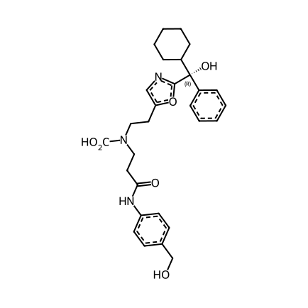 O=C(CCN(CCc1cnc([C@](O)(c2ccccc2)C2CCCCC2)o1)C(=O)O)Nc1ccc(CO)cc1